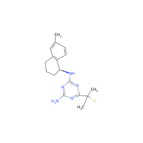 Cc1ccc2c(c1)CCC[C@@H]2Nc1nc(N)nc(C(C)(C)F)n1